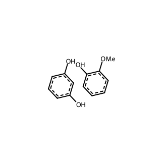 COc1ccccc1O.Oc1cccc(O)c1